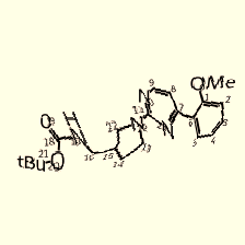 COc1ccccc1-c1ccnc(N2CCC(CNC(=O)OC(C)(C)C)C2)n1